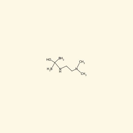 BC(B)(O)NCCN(C)C